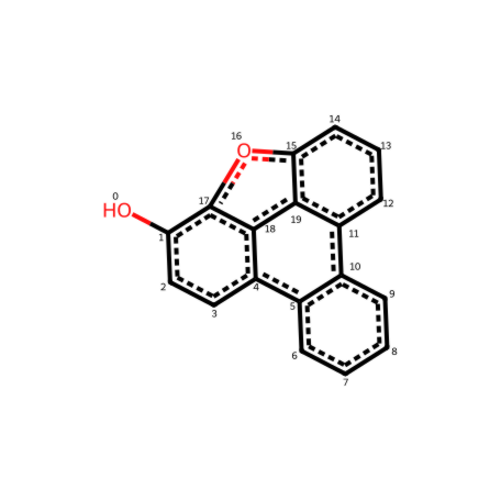 Oc1ccc2c3ccccc3c3cccc4oc1c2c43